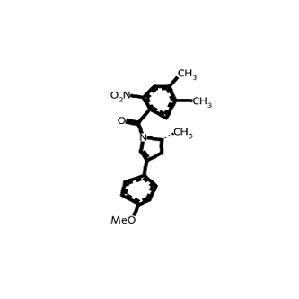 COc1ccc(C2=CN(C(=O)c3cc(C)c(C)cc3[N+](=O)[O-])[C@H](C)C2)cc1